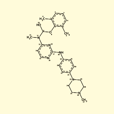 Cc1cccc(C)c1OC(O)N(C)c1ccnc(Nc2ccc(N3CCN(C)CC3)cc2)n1